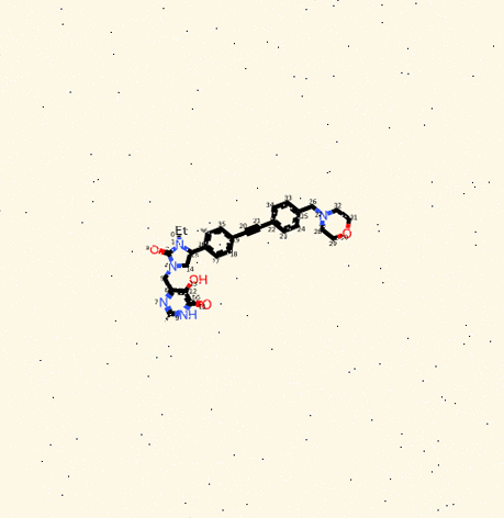 CCN1C(=O)N(Cc2nc[nH]c(=O)c2O)CC1c1ccc(C#Cc2ccc(CN3CCOCC3)cc2)cc1